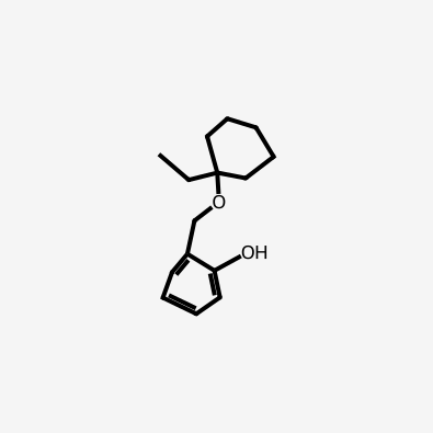 CCC1(OCc2ccccc2O)CCCCC1